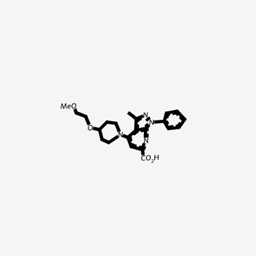 COCCOC1CCN(c2cc(C(=O)O)nc3c2c(C)nn3-c2ccccc2)CC1